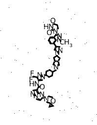 Cn1nc(N2CCC(=O)NC2=O)c2cccc(-c3cnn(C4CC5CN(CC6CCC(n7cc(NC(=O)c8cnn9ccc(N%10CCOC%11(CC%11)C%10)nc89)c(C(F)F)n7)CC6)CC5C4)c3)c21